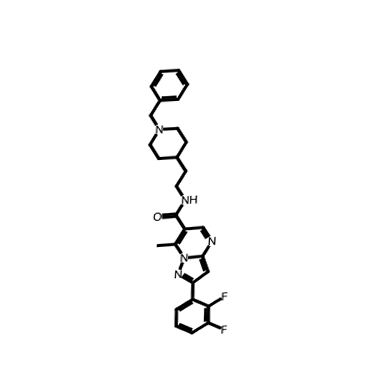 Cc1c(C(=O)NCCC2CCN(Cc3ccccc3)CC2)cnc2cc(-c3cccc(F)c3F)nn12